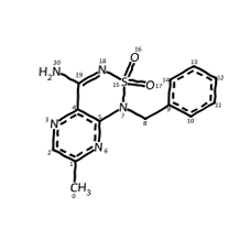 Cc1cnc2c(n1)N(Cc1ccccc1)S(=O)(=O)N=C2N